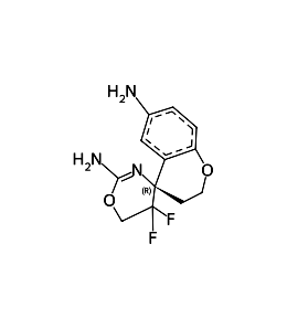 NC1=N[C@@]2(CCOc3ccc(N)cc32)C(F)(F)CO1